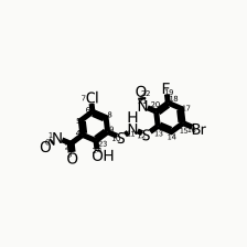 O=NC(=O)c1cc(Cl)cc(SNSc2cc(Br)cc(F)c2N=O)c1O